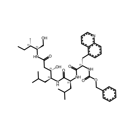 CC[C@H](C)[C@@H](CO)NC(=O)C[C@H](O)[C@H](CC(C)C)NC(=O)[C@H](CC(C)C)NC(=O)[C@H](Cc1cccc2ncccc12)NC(=O)OCc1ccccc1